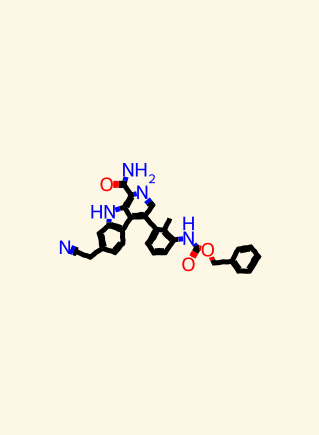 Cc1c(NC(=O)OCc2ccccc2)cccc1-c1cnc(C(N)=O)c2[nH]c3cc(CC#N)ccc3c12